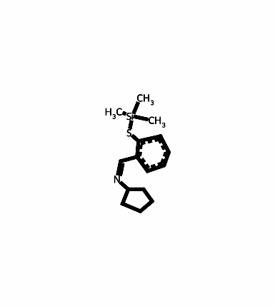 C[Si](C)(C)Sc1ccccc1/C=N\C1CCCC1